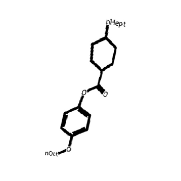 CCCCCCCCOc1ccc(OC(=O)C2CCC(CCCCCCC)CC2)cc1